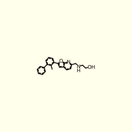 Cc1c(-c2ccccc2)cccc1-c1cc2ccc(CNCCO)nc2o1